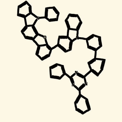 c1ccc(-c2nc(-c3ccccc3)nc(-c3cccc(-c4cccc(-n5c6ccccc6c6cc(-c7cccc8c7oc7c8ccc8c9ccccc9n(-c9ccccc9)c87)ccc65)c4)c3)n2)cc1